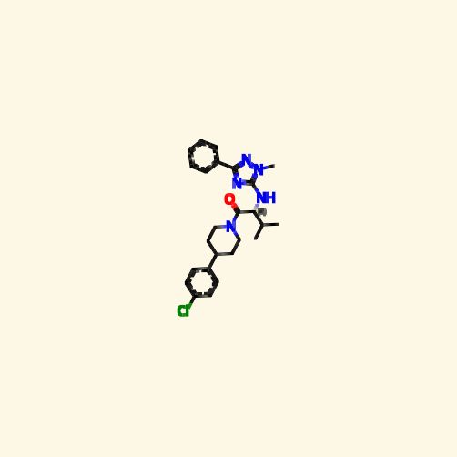 CC(C)[C@@H](Nc1nc(-c2ccccc2)nn1C)C(=O)N1CCC(c2ccc(Cl)cc2)CC1